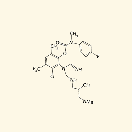 CNCC(O)CNCN(C=N)c1c(Cl)c(C(F)(F)F)cc(C)c1OC(=O)N(C)c1ccc(F)cc1